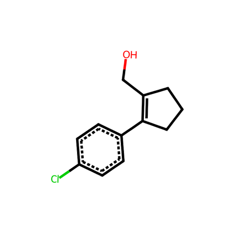 OCC1=C(c2ccc(Cl)cc2)CCC1